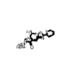 CCCCN(CCC)C(=O)c1cc(N)n2nc(-c3ccccn3)nc2c1